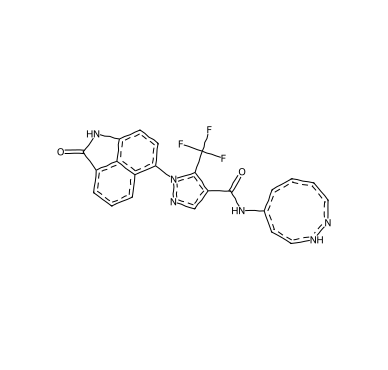 O=C(Nc1ccccn[nH]cc1)c1cnn(-c2ccc3c4c(cccc24)C(=O)N3)c1C(F)(F)F